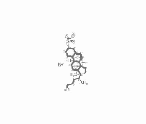 CC(C)CCC[C@@H](C)[C@H]1CC[C@H]2[C@@H]3CC=C4C[C@H](OS(=O)(=O)[O-])CC[C@]4(C)[C@H]3CC[C@]12C.[Na+]